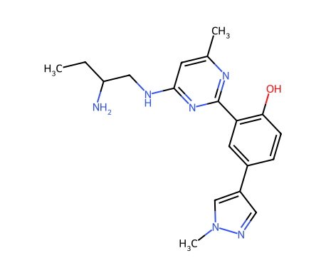 CCC(N)CNc1cc(C)nc(-c2cc(-c3cnn(C)c3)ccc2O)n1